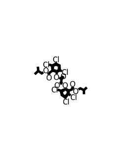 CC(C)COC(=O)c1c(Cl)c(Cl)cc(Cl)c1OC(=O)C(=O)Oc1c(Cl)cc(Cl)c(Cl)c1C(=O)OCC(C)C